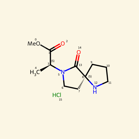 COC(=O)[C@H](C)N1CC[C@@]2(CCCN2)C1=O.Cl